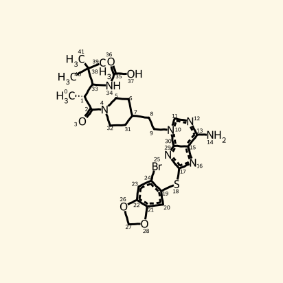 C[C@@H](C(=O)N1CCC(CCn2cnc(N)c3nc(Sc4cc5c(cc4Br)OCO5)nc2-3)CC1)C(NC(=O)O)C(C)(C)C